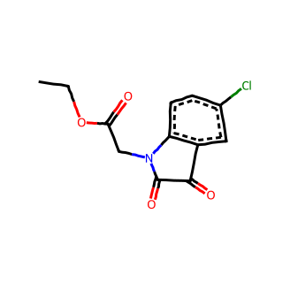 CCOC(=O)CN1C(=O)C(=O)c2cc(Cl)ccc21